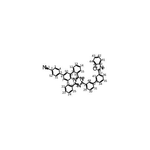 N#Cc1ccc(-c2cccc(-c3ccccc3-c3nc(-c4ccccc4)nc(-c4cccc(-c5cccc(-c6nc7ccccc7o6)c5)c4)n3)c2)cc1